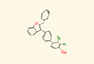 Oc1ccc(-c2ccc(-c3c(Cc4ccccc4)oc4ccccc34)cc2)c(Br)c1Br